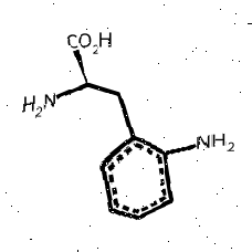 Nc1ccccc1C[C@@H](N)C(=O)O